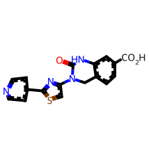 O=C(O)c1ccc2c(c1)NC(=O)N(c1csc(-c3ccncc3)n1)C2